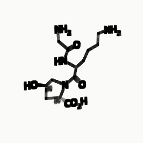 NCCCCC(NC(=O)CN)C(=O)N1C[C@H](O)C[C@H]1C(=O)O